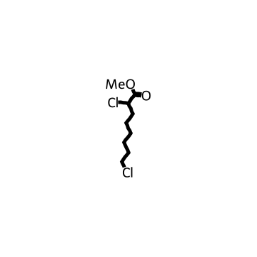 COC(=O)C(Cl)CCCCCCCl